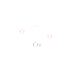 O=C[O-].[Cu+]